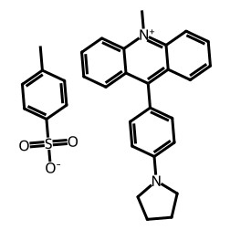 C[n+]1c2ccccc2c(-c2ccc(N3CCCC3)cc2)c2ccccc21.Cc1ccc(S(=O)(=O)[O-])cc1